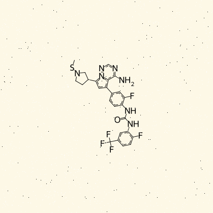 CSN1CCC(c2cc(-c3ccc(NC(=O)Nc4cc(C(F)(F)F)ccc4F)c(F)c3)c3c(N)ncnn23)C1